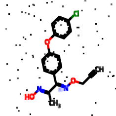 C#CCO/N=C(/C(C)=NO)c1ccc(Oc2ccc(Cl)cc2)cc1